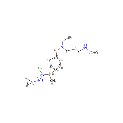 CC(C)CN(CCCNC=O)Sc1ccc2c(c1)S2(C)N(F)NC1CC1